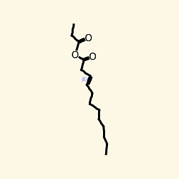 CCCCCCCC/C=C/CC(=O)OC(=O)CC